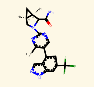 Cc1nc(N2C[C@H]3C[C@H]3C2C(N)=O)ncc1-c1cc(C(F)(F)F)cc2[nH]ncc12